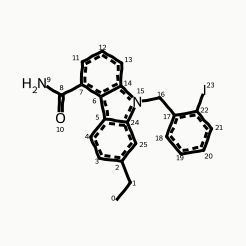 CCc1c[c]c2c3c(C(N)=O)cccc3n(Cc3ccccc3I)c2c1